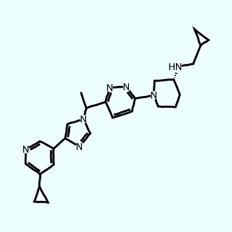 CC(c1ccc(N2CCC[C@@H](NCC3CC3)C2)nn1)n1cnc(-c2cncc(C3CC3)c2)c1